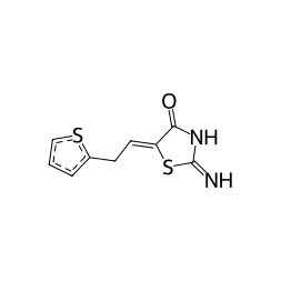 N=C1NC(=O)C(=CCc2cccs2)S1